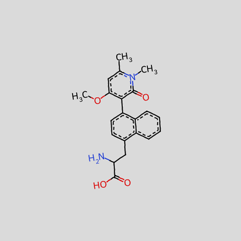 COc1cc(C)n(C)c(=O)c1-c1ccc(CC(N)C(=O)O)c2ccccc12